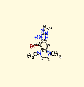 CN1CCN(C)c2c1ccc(NC1=NCCN1)c2Br